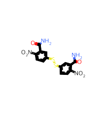 NC(=O)c1cc(SSc2ccc([N+](=O)[O-])c(C(N)=O)c2)ccc1[N+](=O)[O-]